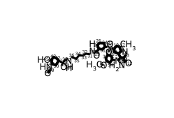 COc1cccc(Nc2c(C(N)=O)cnc3c(C)cc(S(=O)(=O)c4cccc(C(=O)NCCCCCCNC[C@H](O)c5ccc(O)c(NC=O)c5)c4)cc23)c1